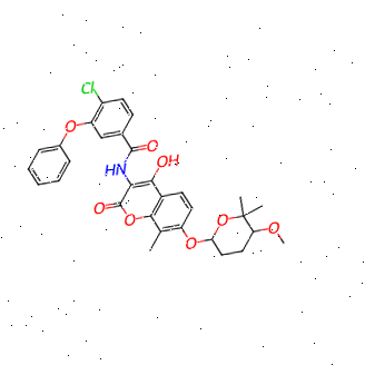 COC1CCC(Oc2ccc3c(O)c(NC(=O)c4ccc(Cl)c(Oc5ccccc5)c4)c(=O)oc3c2C)OC1(C)C